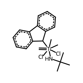 [CH2]=[Ti]([CH3])([CH3])([Cl])([Cl])([NH]C(C)(C)C)[CH]1c2ccccc2-c2ccccc21